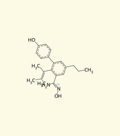 CCCc1cc(/C(N)=N/O)c(C(C)=C(C)C)c(-c2ccc(O)cc2)c1